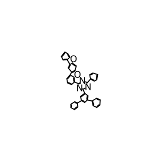 c1ccc(-c2cc(-c3ccccc3)cc(-c3nc(-c4ccccc4)nc(-c4cccc5c4oc4cc6oc7ccccc7c6cc45)n3)c2)cc1